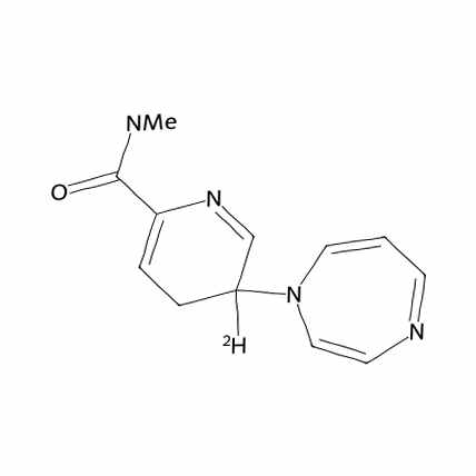 [2H]C1(N2C=CC=NC=C2)C=NC(C(=O)NC)=CC1